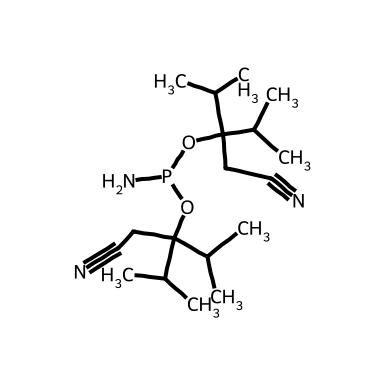 CC(C)C(CC#N)(OP(N)OC(CC#N)(C(C)C)C(C)C)C(C)C